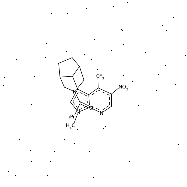 CC(C)C(=O)N1CC2CCC(C1)C2c1cn(C)c2ncc([N+](=O)[O-])c(C(F)(F)F)c12